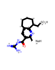 Cc1nc2c(cc1C(=O)NC(=N)N)CCCCC2CS(=O)(=O)O.[NaH]